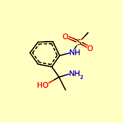 CC(N)(O)c1ccccc1NS(C)(=O)=O